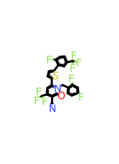 N#Cc1c(C(F)(F)F)cc(-c2ccc(-c3cc(C(F)(F)F)ccc3F)s2)n(Cc2ccc(F)cc2F)c1=O